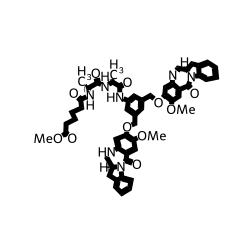 COC(=O)CCCCC(=O)N[C@@H](C)C(=O)N[C@@H](C)C(=O)Nc1cc(COc2cc3c(cc2OC)C(=O)N2c4ccccc4C[C@H]2C=N3)cc(COc2cc3c(cc2OC)C(=O)N2c4ccccc4C[C@H]2CN3)c1